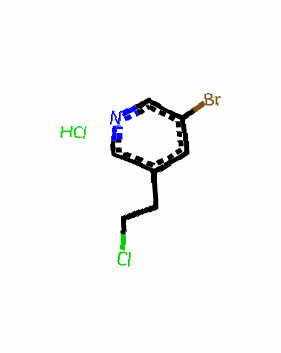 Cl.ClCCc1cncc(Br)c1